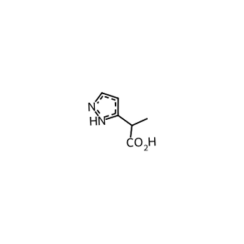 CC(C(=O)O)c1ccn[nH]1